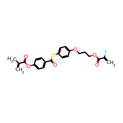 C=C(C)C(=O)Oc1ccc(C(=O)Sc2ccc(OCCCOC(=O)C(=C)F)cc2)cc1